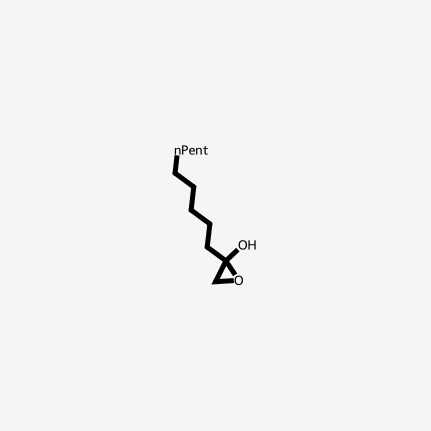 CCCCCCCCCCC1(O)CO1